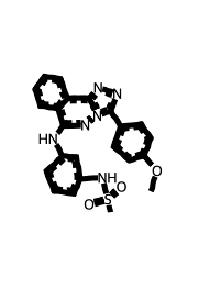 COc1ccc(-c2nnc3c4ccccc4c(Nc4cccc(NS(C)(=O)=O)c4)nn23)cc1